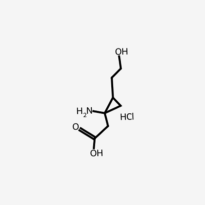 Cl.NC1(CC(=O)O)CC1CCO